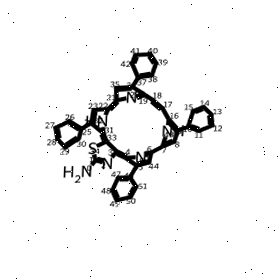 Nc1nc2c3nc(c4cc(-c5ccccc5)c(ccc5nc(c6cc(-c7ccccc7)c([nH]6)c2s1)C=C5c1ccccc1)[nH]4)C=C3c1ccccc1